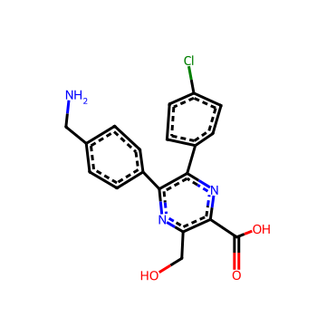 NCc1ccc(-c2nc(CO)c(C(=O)O)nc2-c2ccc(Cl)cc2)cc1